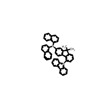 CC1(C)c2cc(N(c3cccc4c#cccc34)c3cccc4ccccc34)ccc2-c2c(-n3c4ccccc4c4ccccc43)cccc21